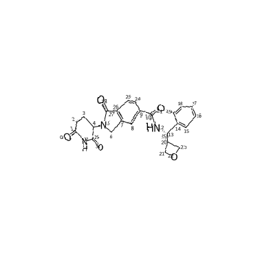 O=C1CCC(N2Cc3cc(C(=O)N[C@H](c4ccccc4)C4COC4)ccc3C2=O)C(=O)N1